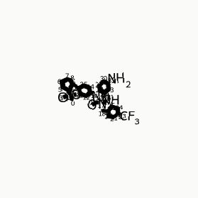 CS(=O)(=O)c1ccccc1-c1ccc(NC(=O)N(Cc2ccc(C(F)(F)F)cc2)Nc2cccc(N)c2)cc1